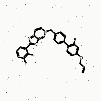 C=CCOc1ccc(-c2ccc(Cn3ccc4nc(-c5cccc(F)c5F)nc-4c3)cc2)c(C)c1